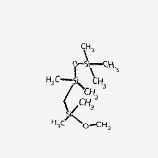 CO[Si](C)(C)C[Si](C)(C)O[Si](C)(C)C